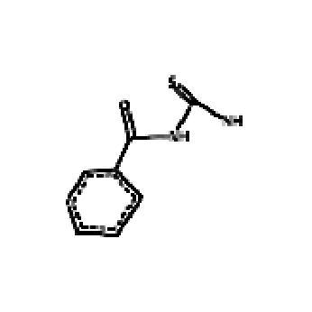 [NH]C(=S)NC(=O)c1ccccc1